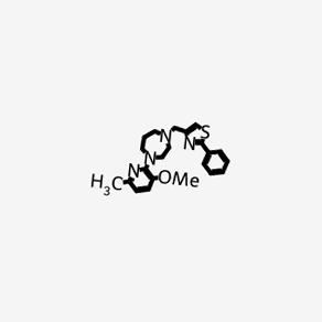 COc1ccc(C)nc1N1CCCN(Cc2csc(-c3ccccc3)n2)CC1